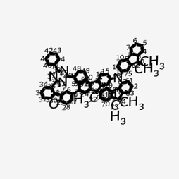 CC1(C)c2ccccc2-c2ccc(N(c3ccc4c(c3)C(C)(C)c3cc(-c5ccc6oc7cccc(-c8nc(-c9ccccc9)nc(-c9ccccc9)n8)c7c6c5)ccc3-4)c3cccc4c3-c3ccccc3C4(C)C)cc21